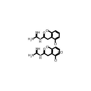 Cl.N=C(N)NC(=O)Cc1c(Cl)cccc1Cl.N=C(N)NC(=O)Cc1c(Cl)cccc1Cl